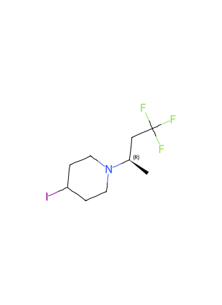 C[C@H](CC(F)(F)F)N1CCC(I)CC1